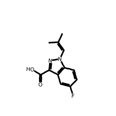 CC(C)=Cn1nc(C(=O)O)c2cc(F)ccc21